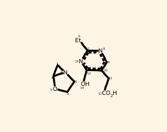 C1CN2CC2O1.CCc1ncc(CC(=O)O)c(O)n1